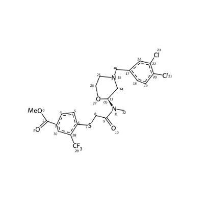 COC(=O)c1ccc(SCC(=O)N(C)[C@@H]2CN(Cc3ccc(Cl)c(Cl)c3)CCO2)c(C(F)(F)F)c1